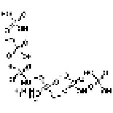 N.N.O=S(=O)(O)O.O=S(=O)(O)O.O=S(=O)(O)O.O=S(=O)(O)O.O=S(=O)(O)O.O=S(=O)(O)O